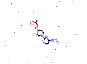 CC(O)CO[C@@H]1CCN(c2nccc(N)n2)C[C@@H]1F